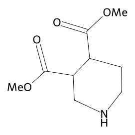 COC(=O)C1CCNCC1C(=O)OC